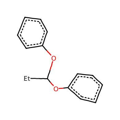 [CH2]CC(Oc1ccccc1)Oc1ccccc1